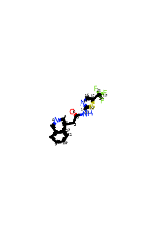 O=C(Cc1cncc2ccccc12)Nc1ncc(C(F)(F)F)s1